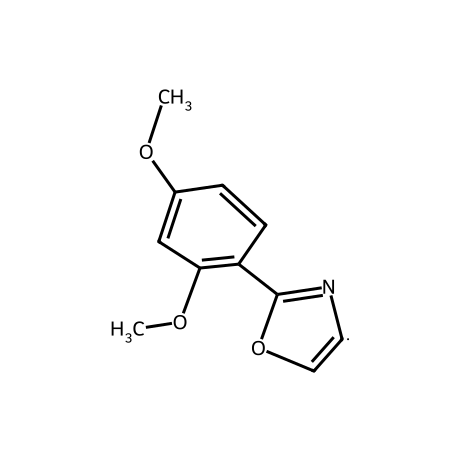 COc1ccc(-c2n[c]co2)c(OC)c1